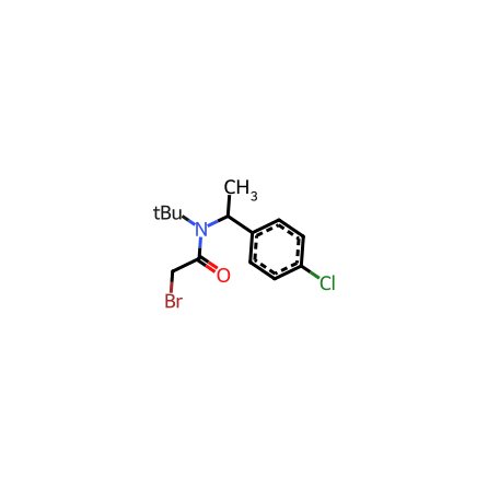 CC(c1ccc(Cl)cc1)N(C(=O)CBr)C(C)(C)C